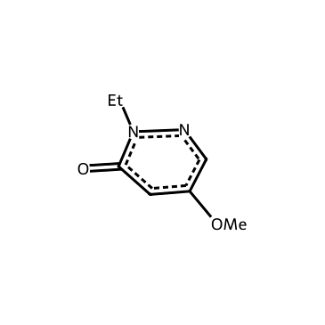 CCn1ncc(OC)cc1=O